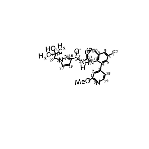 COc1cc(-c2cc(F)cc(C(C)C)c2NC(=O)N[S+]([O-])c2ccn(CC(C)(C)O)n2)ccn1